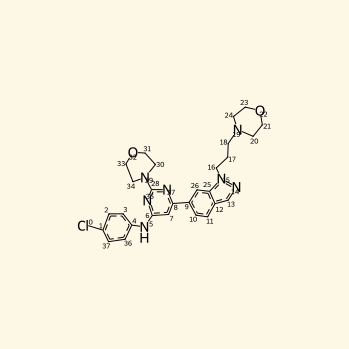 Clc1ccc(Nc2cc(-c3ccc4cnn(CCCN5CCOCC5)c4c3)nc(N3CCOCC3)n2)cc1